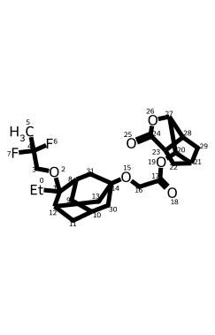 CCC1(OCC(C)(F)F)C2CC3CC1CC(OCC(=O)OC1C4CC5C(=O)OC1C5C4)(C3)C2